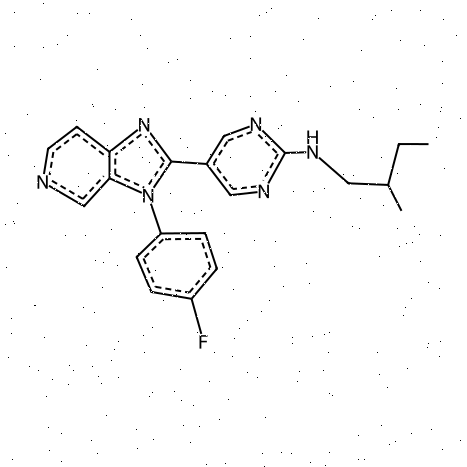 CCC(C)CNc1ncc(-c2nc3ccncc3n2-c2ccc(F)cc2)cn1